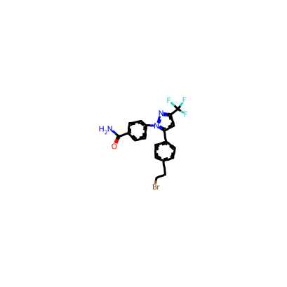 NC(=O)c1ccc(-n2nc(C(F)(F)F)cc2-c2ccc(CCBr)cc2)cc1